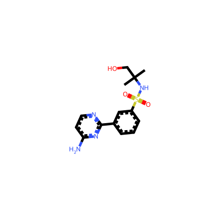 CC(C)(CO)NS(=O)(=O)c1cccc(-c2nccc(N)n2)c1